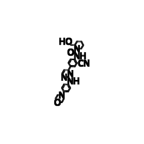 N#Cc1cc(-c2ccnc(Nc3ccc(N4CCOCC4)cc3)n2)ccc1NC(=O)N1CCCCC1CO